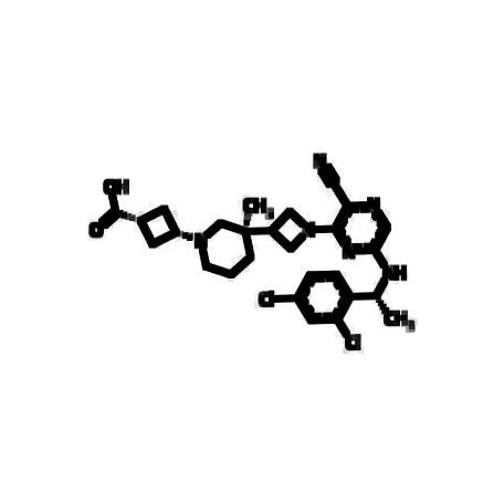 C[C@@H](Nc1cnc(C#N)c(N2CC([C@@]3(C)CCCN([C@H]4C[C@@H](C(=O)O)C4)C3)C2)n1)c1ccc(Cl)cc1Cl